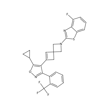 Fc1cccc2sc(N3CC4(C=C(c5c(-c6ccccc6C(F)(F)F)noc5C5CC5)C4)C3)nc12